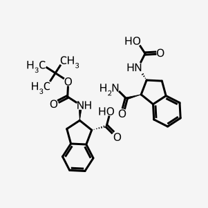 CC(C)(C)OC(=O)N[C@@H]1Cc2ccccc2[C@H]1C(=O)O.NC(=O)[C@@H]1c2ccccc2C[C@H]1NC(=O)O